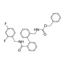 O=C(NCc1ccccc1-c1ccccc1C(=O)NCc1ccc(F)cc1F)OCc1ccccc1